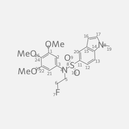 COc1cc(N(CCF)S(=O)(=O)c2ccc3c(ccn3C)c2)cc(OC)c1OC